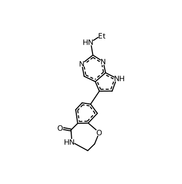 CCNc1ncc2c(-c3ccc4c(c3)OCCNC4=O)c[nH]c2n1